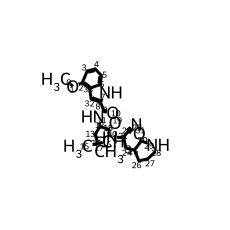 COc1cccc2[nH]c(C(=O)NC(CC(C)(C)C)C(=O)NC(C#N)CC3CCCNC3=O)cc12